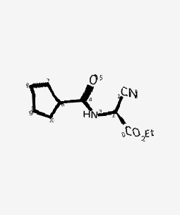 CCOC(=O)[C@H](C#N)NC(=O)C1CCCC1